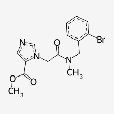 COC(=O)c1cncn1CC(=O)N(C)Cc1ccccc1Br